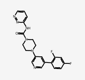 O=C(Nc1cccnn1)N1CCN(c2cncc(-c3ccc(F)cc3F)c2)CC1